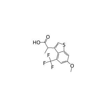 COc1cc(C(F)(F)F)c2c(C(C)C(=O)O)csc2c1